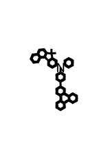 CC1(C)c2cc(N(c3ccccc3)c3ccc(-c4ccc5c6ccccc6c6ccccc6c5c4)cc3)ccc2-c2c1ccc1ccccc21